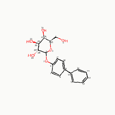 OC[C@H]1OC(Oc2ccc(-c3ccccc3)cc2)[C@H](O)[C@@H](O)[C@H]1O